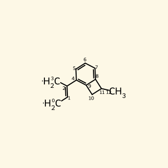 [CH2]C=C([CH2])c1cccc2c1CC2C